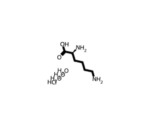 Cl.NCCCC[C@H](N)C(=O)O.O.O.O